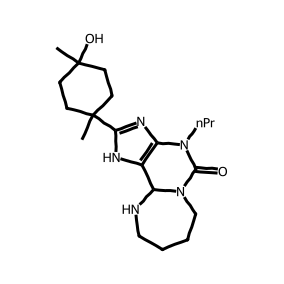 CCCN1C(=O)N2CCCCNC2c2[nH]c(C3(C)CCC(C)(O)CC3)nc21